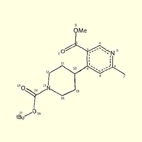 COC(=O)c1cnc(C)cc1C1CCN(C(=O)OC(C)(C)C)CC1